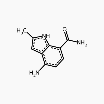 Cc1cc2c(N)ccc(C(N)=O)c2[nH]1